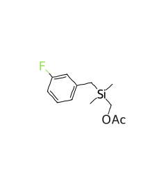 CC(=O)OC[Si](C)(C)Cc1cccc(F)c1